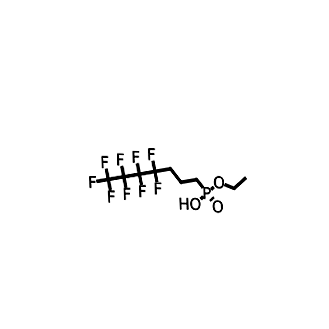 CCOP(=O)(O)CCCC(F)(F)C(F)(F)C(F)(F)C(F)(F)F